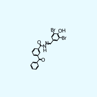 O=C(N/N=C/c1cc(Br)c(O)c(Br)c1)c1cccc(C(=O)c2ccccc2)c1